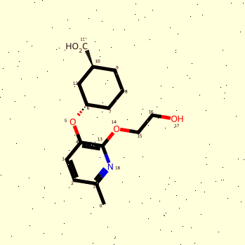 Cc1ccc(O[C@H]2CCC[C@H](C(=O)O)C2)c(OCCO)n1